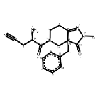 C#CC[C@@H](N)C(=O)N1CCC2=NN(C)C(=O)[C@]2(Cc2ccccc2)C1